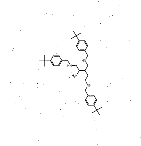 CC(C)(C)c1ccc(CNCCC(CNCc2ccc(C(C)(C)C)cc2)C(N)CNCc2ccc(C(C)(C)C)cc2)cc1